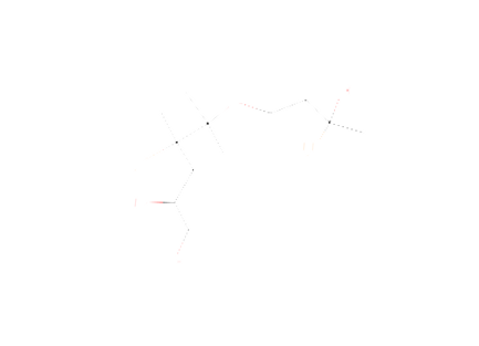 CC(O)(P)CCOC(C)(C)C(C)(P)CC(O)CO